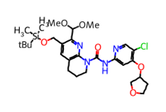 COC(OC)c1nc2c(cc1CO[Si](C)(C)C(C)(C)C)CCCN2C(=O)Nc1cc(OC2CCOC2)c(Cl)cn1